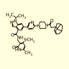 CSc1cc(C)[nH]c(=O)c1CNC(=O)c1cc(-c2ccc(N3CCN(C(=O)CC45CC6CC(CC(C6)C4)C5)CC3)nc2)cc2c1cnn2C(C)C